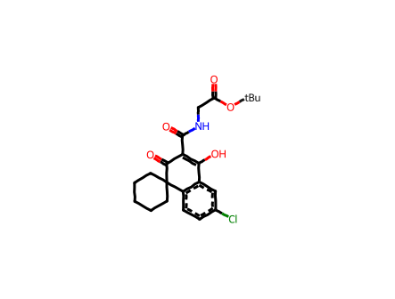 CC(C)(C)OC(=O)CNC(=O)C1=C(O)c2cc(Cl)ccc2C2(CCCCC2)C1=O